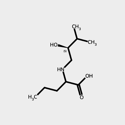 CCCC(NC[C@@H](O)C(C)C)C(=O)O